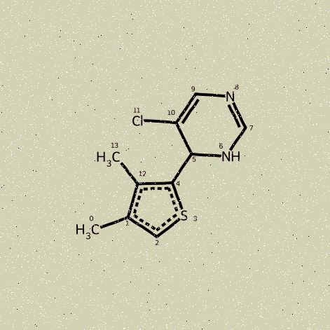 Cc1csc(C2NC=NC=C2Cl)c1C